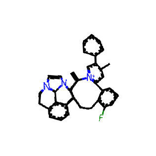 C=C1C2C(CCc3c(F)cccc3-c3cc(C)c(-c4ccccc4)c[n+]31)c1cccc3c1C1N(C=CN21)CC3